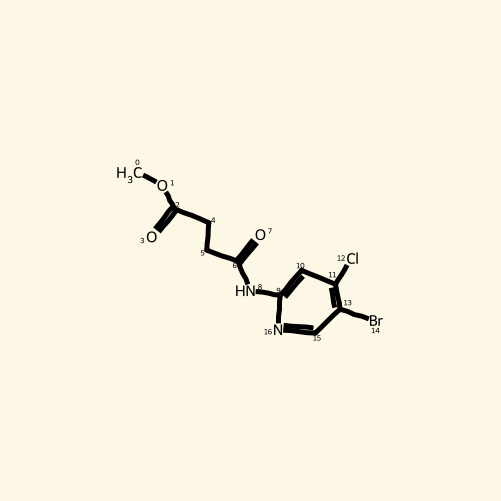 COC(=O)CCC(=O)Nc1cc(Cl)c(Br)cn1